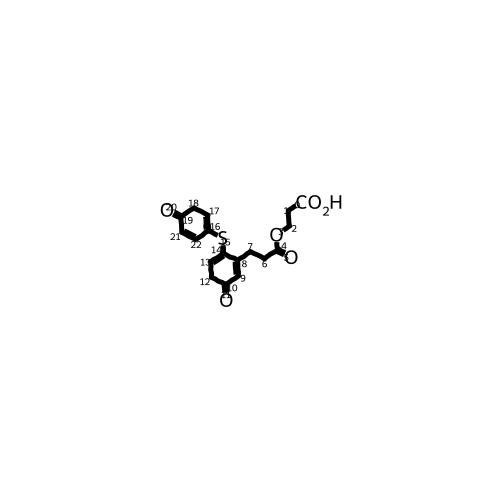 O=C(O)CCOC(=O)CCC1=CC(=O)CC=C1SC1=CCC(=O)C=C1